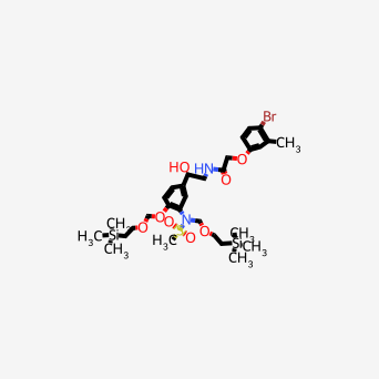 Cc1cc(OCC(=O)NC[C@@H](O)c2ccc(OCOCC[Si](C)(C)C)c(N(COCC[Si](C)(C)C)S(C)(=O)=O)c2)ccc1Br